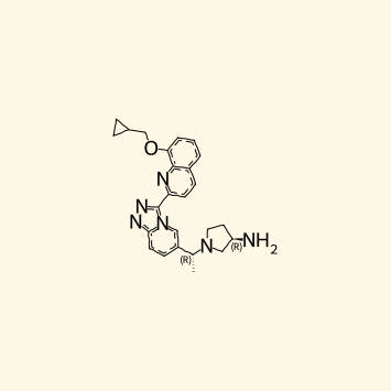 C[C@H](c1ccc2nnc(-c3ccc4cccc(OCC5CC5)c4n3)n2c1)N1CC[C@@H](N)C1